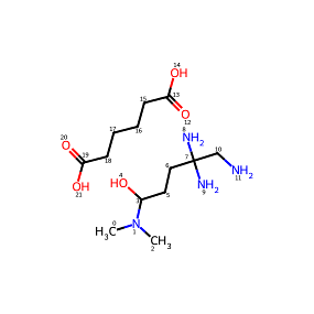 CN(C)C(O)CCC(N)(N)CN.O=C(O)CCCCC(=O)O